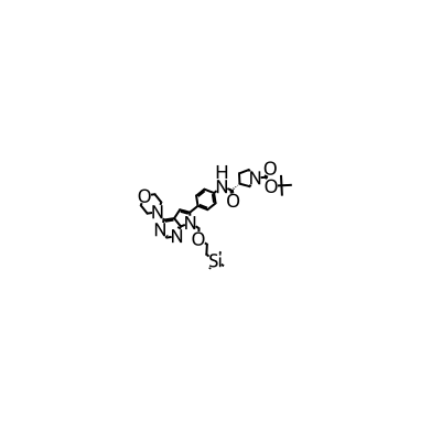 CC(C)(C)OC(=O)N1CC[C@@H](C(=O)Nc2ccc(-c3cc4c(N5CCOCC5)ncnc4n3COCC[Si](C)(C)C)cc2)C1